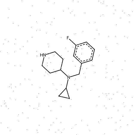 Fc1cccc(CN(C2CCNCC2)C2CC2)c1